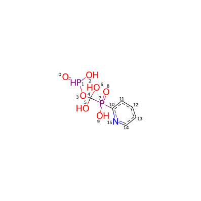 O=[PH](O)OC(O)(O)P(=O)(O)c1ccccn1